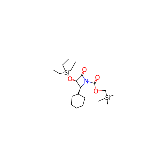 CC[Si](CC)(CC)O[C@H]1C(=O)N(C(=O)OC[Si](C)(C)C)[C@H]1C1CCCCC1